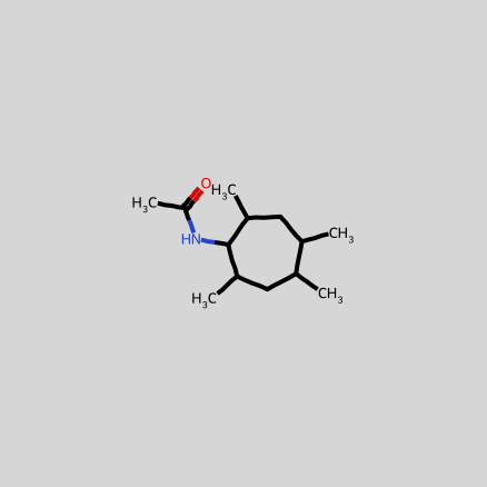 CC(=O)NC1C(C)CC(C)C(C)CC1C